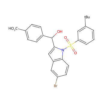 CC(C)(C)c1cccc(S(=O)(=O)n2c(C(O)c3ccc(C(=O)O)cc3)cc3cc(Br)ccc32)c1